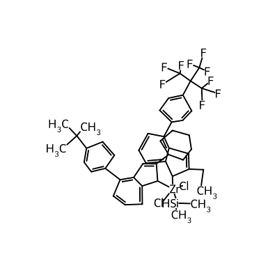 CCC1=Cc2c(-c3ccc(C(C(F)(F)F)(C(F)(F)F)C(F)(F)F)cc3)cccc2[CH]1[Zr]([Cl])([Cl])([CH]1C(C2CCCCC2)=Cc2c(-c3ccc(C(C)(C)C)cc3)cccc21)[SiH](C)C